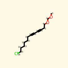 COCOCCC#CC#CCCCCCCCl